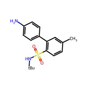 Cc1ccc(S(=O)(=O)NC(C)(C)C)c(-c2ccc(N)cc2)c1